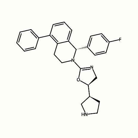 Fc1ccc([C@H]2c3cccc(-c4ccccc4)c3CCN2C2=NC[C@@H]([C@H]3CCNC3)O2)cc1